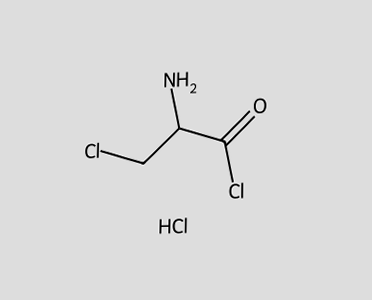 Cl.NC(CCl)C(=O)Cl